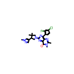 Cc1nc2c(-c3ccc(Cl)cc3F)nc(N3CC(c4cnn(C)c4)C(C)(C)C3)nc2c(=O)n1C